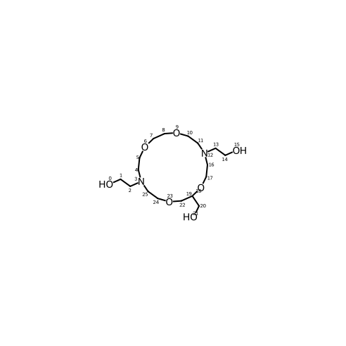 OCCN1CCOCCOCCN(CCO)CCOC(CO)COCC1